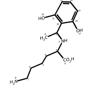 CC(NC(CCCCN)C(=O)O)c1c(O)cccc1O